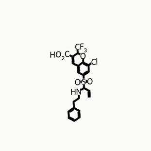 C=CC(NCCc1ccccc1)S(=O)(=O)c1cc(Cl)c2c(c1)C=C(C(=O)O)C(C(F)(F)F)O2